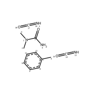 CN(C)C(N)=O.Cc1ccccc1.N=C=O.N=C=O